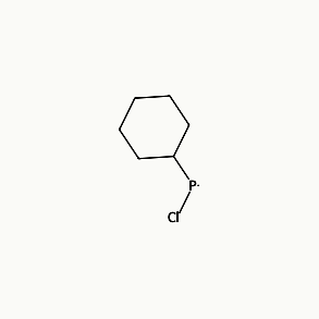 Cl[P]C1CCCCC1